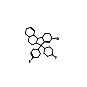 FC1=CCC(C2(C3CCC(F)CC3)C3=CC(Br)CCC3C3C4C=CCCC4CCC32)CC1